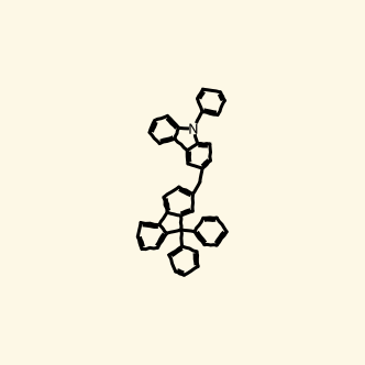 c1ccc(-n2c3ccccc3c3cc(Cc4ccc5c(c4)C(c4ccccc4)(c4ccccc4)c4ccccc4-5)ccc32)cc1